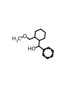 COCC1CCCCC1C(O)c1ccccc1